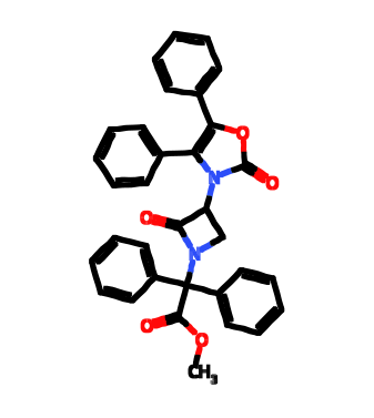 COC(=O)C(c1ccccc1)(c1ccccc1)N1CC(n2c(-c3ccccc3)c(-c3ccccc3)oc2=O)C1=O